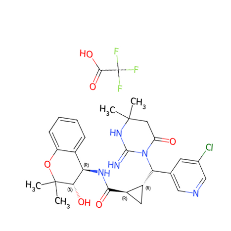 CC1(C)CC(=O)N(C(c2cncc(Cl)c2)[C@@H]2C[C@H]2C(=O)N[C@@H]2c3ccccc3OC(C)(C)[C@H]2O)C(=N)N1.O=C(O)C(F)(F)F